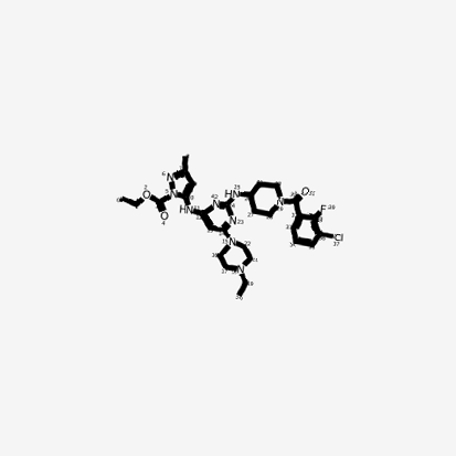 CCOC(=O)n1nc(C)cc1Nc1cc(N2CCN(CC)CC2)nc(NC2CCN(C(=O)c3cccc(Cl)c3F)CC2)n1